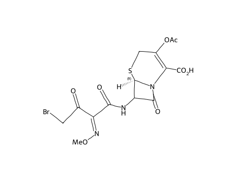 CON=C(C(=O)CBr)C(=O)NC1C(=O)N2C(C(=O)O)=C(OC(C)=O)CS[C@H]12